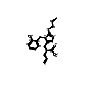 C=CCC(Cc1cnc(SCCC)n1Cc1ccccc1Cl)C(=O)O